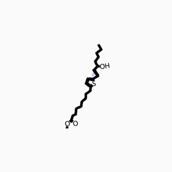 CCCCCC(O)/C=C/c1ccc(CCCCCCCCC(=O)OC)s1